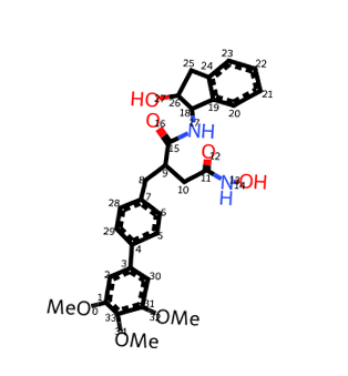 COc1cc(-c2ccc(CC(CC(=O)NO)C(=O)NC3c4ccccc4CC3O)cc2)cc(OC)c1OC